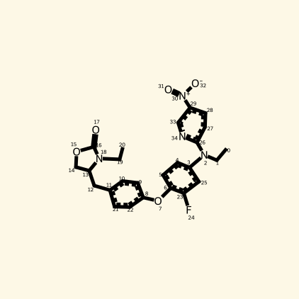 CCN(c1ccc(Oc2ccc(CC3COC(=O)N3CC)cc2)c(F)c1)c1ccc([N+](=O)[O-])cn1